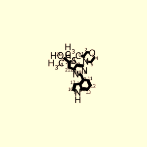 CC1COCCN1c1nc(-c2cccc3[nH]ccc23)nc2cc(C(C)(C)O)sc12